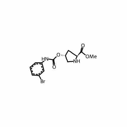 COC(=O)[C@@H]1C[C@@H](OC(=O)Nc2cccc(Br)c2)CN1